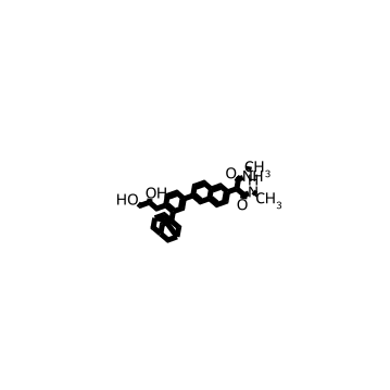 CNC(=O)C(C(=O)NC)c1ccc2cc(-c3ccc(CC(O)CO)c(C45CC6CC(CC(C6)C4)C5)c3)ccc2c1